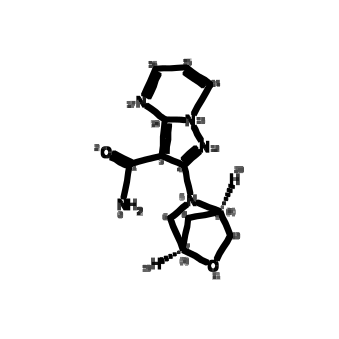 NC(=O)c1c(N2C[C@H]3C[C@@H]2CO3)nn2cccnc12